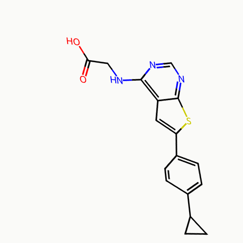 O=C(O)CNc1ncnc2sc(-c3ccc(C4CC4)cc3)cc12